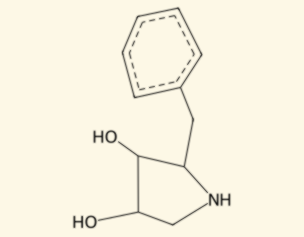 OC1CNC(Cc2ccccc2)C1O